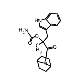 CC(Cc1c[nH]c2ccccc12)(OC(N)=O)C(=O)N1CC2CCC(CC2)C1